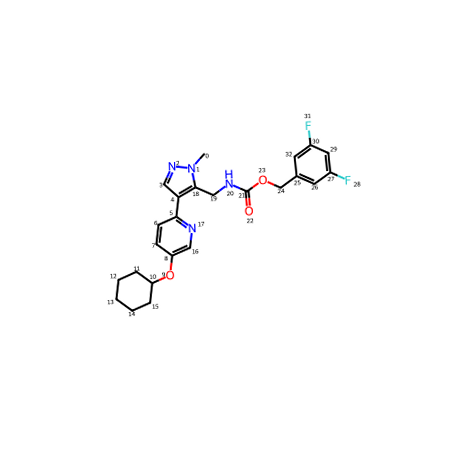 Cn1ncc(-c2ccc(OC3CCCCC3)cn2)c1CNC(=O)OCc1cc(F)cc(F)c1